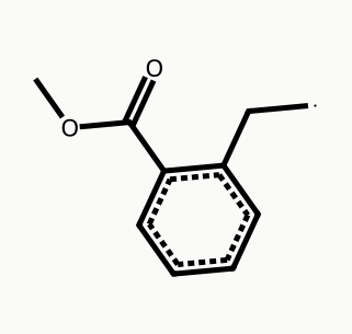 [CH2]Cc1ccccc1C(=O)OC